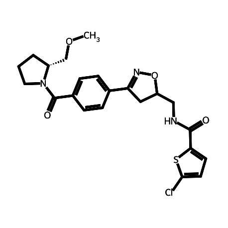 COC[C@H]1CCCN1C(=O)c1ccc(C2=NOC(CNC(=O)c3ccc(Cl)s3)C2)cc1